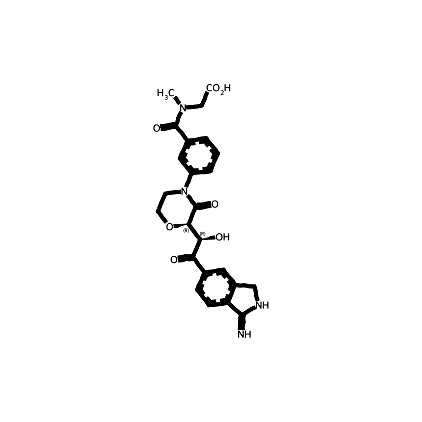 CN(CC(=O)O)C(=O)c1cccc(N2CCO[C@H]([C@@H](O)C(=O)c3ccc4c(c3)CNC4=N)C2=O)c1